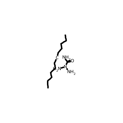 CCCCCCCCCCCC.NC(=O)N(N)N